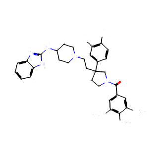 COc1cc(C(=O)N2CCC(CCN3CCC(Nc4nc5ccccc5[nH]4)CC3)(c3ccc(C)c(C)c3)C2)cc(OC)c1OC